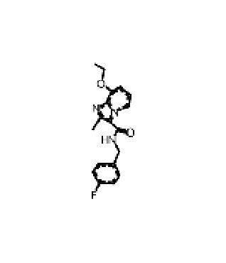 CCOc1cccn2c(C(=O)NCc3ccc(F)cc3)c(C)nc12